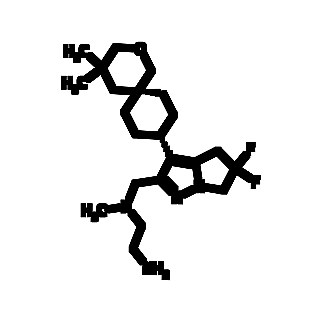 CN(CCN)Cc1nn2c(c1[C@H]1CC[C@@]3(CC1)COCC(C)(C)C3)CC(F)(F)C2